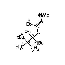 CC/C(=C\NC)CC(CC)(C(C)(C)C)C(C)(C)C(C)(C)C